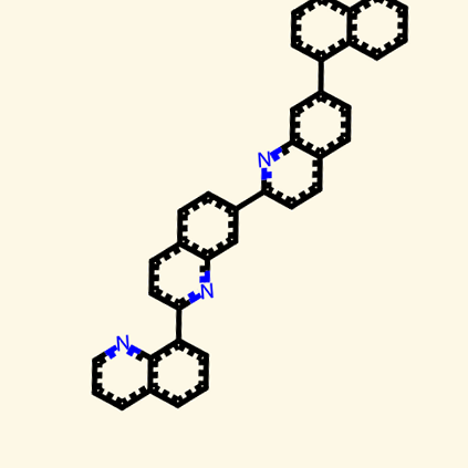 c1ccc2c(-c3ccc4ccc(-c5ccc6ccc(-c7cccc8cccnc78)nc6c5)nc4c3)cccc2c1